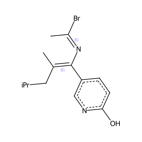 C/C(Br)=N\C(=C(/C)CC(C)C)c1ccc(O)nc1